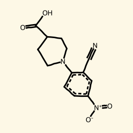 N#Cc1cc([N+](=O)[O-])ccc1N1CCC(C(=O)O)CC1